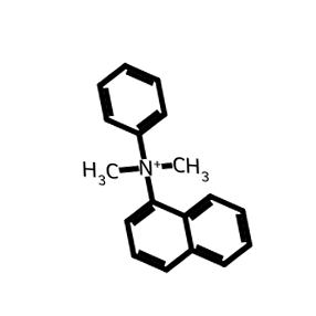 C[N+](C)(c1ccccc1)c1cccc2ccccc12